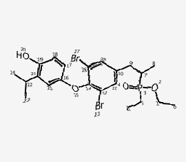 CCOP(=O)(CC)C(C)Cc1cc(Br)c(Oc2ccc(O)c(C(C)C)c2)c(Br)c1